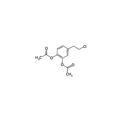 CC(=O)Oc1ccc(CCCl)cc1OC(C)=O